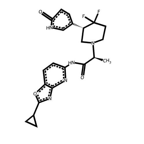 C[C@@H](C(=O)Nc1ccc2oc(C3CC3)nc2n1)N1CCC(F)(F)[C@@H](c2ccc(=O)[nH]c2)C1